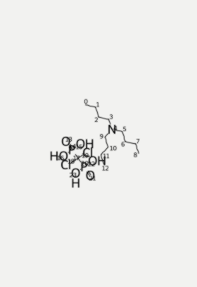 CCCCN(CCCC)CCCC.O=P(O)(O)C(Cl)(Cl)P(=O)(O)O